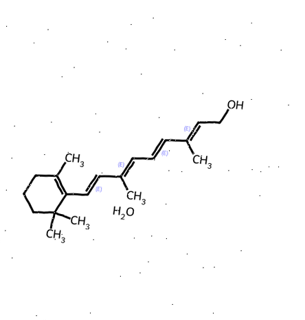 CC1=C(/C=C/C(C)=C/C=C/C(C)=C/CO)C(C)(C)CCC1.O